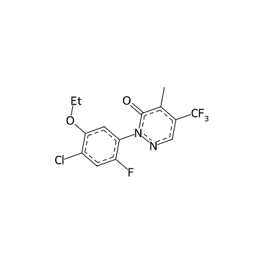 CCOc1cc(-n2ncc(C(F)(F)F)c(C)c2=O)c(F)cc1Cl